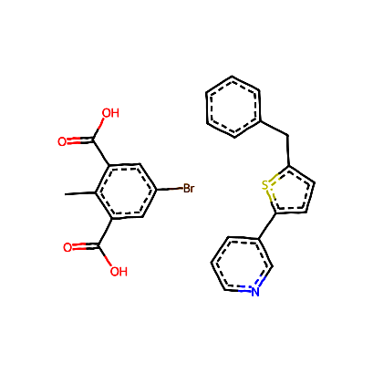 Cc1c(C(=O)O)cc(Br)cc1C(=O)O.c1ccc(Cc2ccc(-c3cccnc3)s2)cc1